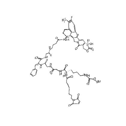 CC[C@@]1(O)C(=O)OCc2c1cc1n(c2=O)Cc2c-1nc1cc(F)c(C)c3c1c2[C@@H](NC(=O)CCCNC(=O)CNC(=O)[C@H](Cc1ccccc1)NC(=O)CNC(=O)CNC(=O)[C@H](CCCCNC(=O)OC(C)(C)C)NC(=O)CCCCCN1C(=O)C=CC1=O)CC3